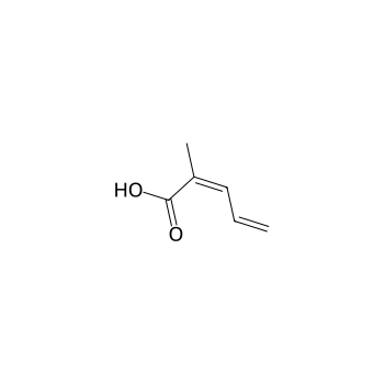 C=CC=C(C)C(=O)O